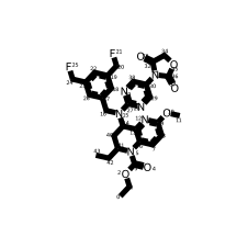 CCOC(=O)N1c2ccc(OC)nc2C(N(Cc2cc(CF)cc(CF)c2)c2ncc(N3C(=O)COC3=O)cn2)CC1CC